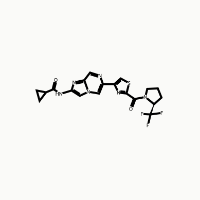 O=C(Nc1cn2cc(-c3csc(C(=O)N4CCC[C@H]4C(F)(F)F)n3)ncc2n1)C1CC1